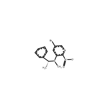 C[C@H](c1ccccc1)N(C)c1cc(Br)cnc1[N+](=O)[O-]